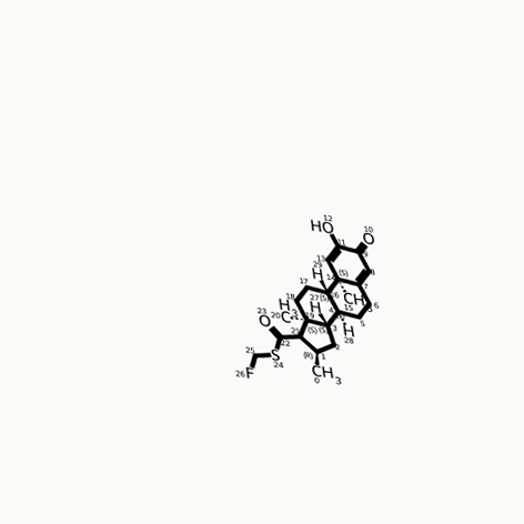 C[C@@H]1C[C@H]2[C@@H]3CCC4=CC(=O)C(O)=C[C@]4(C)[C@H]3CC[C@]2(C)C1C(=O)SCF